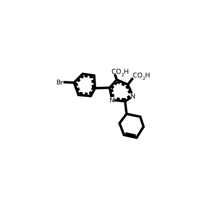 O=C(O)c1nc(C2CC=CCC2)nc(-c2ccc(Br)cc2)c1C(=O)O